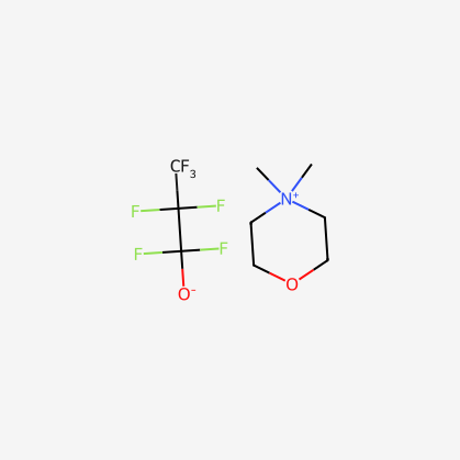 C[N+]1(C)CCOCC1.[O-]C(F)(F)C(F)(F)C(F)(F)F